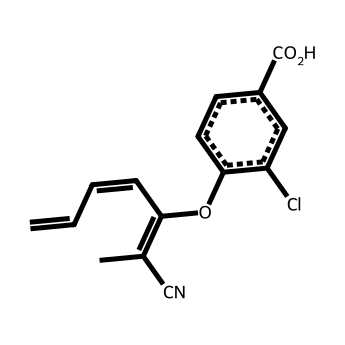 C=C/C=C\C(Oc1ccc(C(=O)O)cc1Cl)=C(/C)C#N